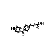 O=C(O)NCCN1CCN(C(=O)N2CCNCC2)CC1